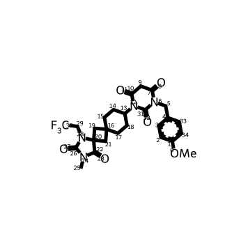 COc1ccc(CN2C(=O)CC(=O)N(C3CCC4(CC3)CC3(C4)C(=O)N(C)C(=O)N3CC(F)(F)F)C2=O)cc1